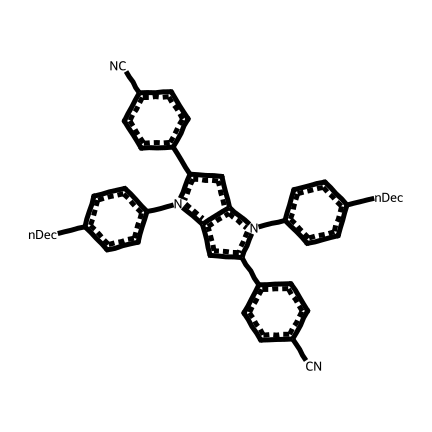 CCCCCCCCCCc1ccc(-n2c(-c3ccc(C#N)cc3)cc3c2cc(-c2ccc(C#N)cc2)n3-c2ccc(CCCCCCCCCC)cc2)cc1